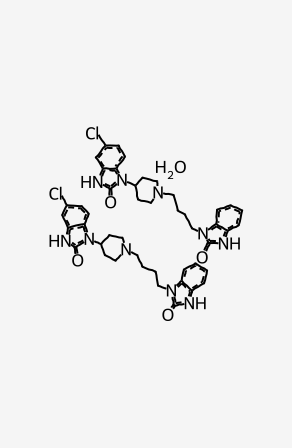 O.O=c1[nH]c2ccccc2n1CCCCN1CCC(n2c(=O)[nH]c3cc(Cl)ccc32)CC1.O=c1[nH]c2ccccc2n1CCCCN1CCC(n2c(=O)[nH]c3cc(Cl)ccc32)CC1